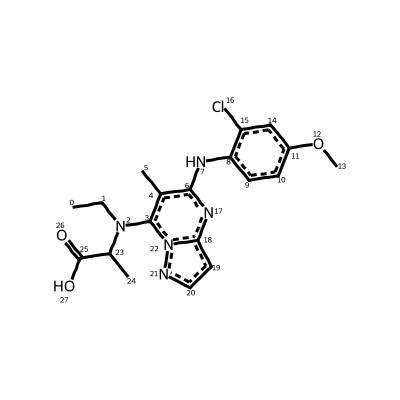 CCN(c1c(C)c(Nc2ccc(OC)cc2Cl)nc2ccnn12)C(C)C(=O)O